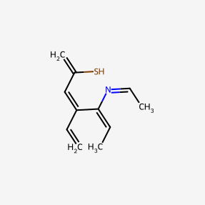 C=CC(=C/C(=C)S)/C(=C\C)/N=C\C